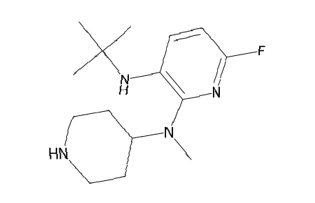 CN(c1nc(F)ccc1NC(C)(C)C)C1CCNCC1